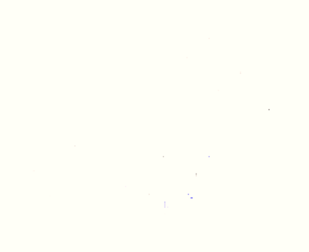 CCOc1ccc2ccccc2c1C(=O)Nc1nnc(NCC2CCCCC2)s1